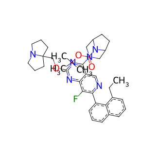 CCc1cccc2cccc(-c3ncc4c(N5CC6CCC(C5)N6C(=O)OC(C)(C)C)nc(OCC56CCCN5CCC6)nc4c3F)c12